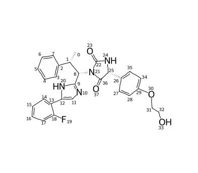 C[C@@H](c1ccccc1)[C@@H](c1ncc(-c2ccccc2F)[nH]1)N1C(=O)N[C@H](c2ccc(OCCO)cc2)C1=O